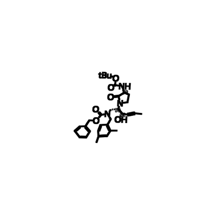 CC#C[C@H](O)[C@H](CN(Cc1ccc(C)cc1C)C(=O)OCc1ccccc1)N1CC[C@H](NC(=O)OC(C)(C)C)C1=O